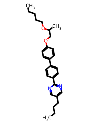 CCCCCOC(C)COc1ccc(-c2ccc(-c3ncc(CCCC)cn3)cc2)cc1